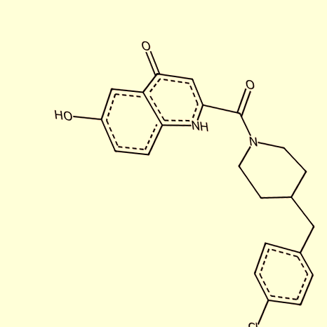 O=C(c1cc(=O)c2cc(O)ccc2[nH]1)N1CCC(Cc2ccc(Cl)cc2)CC1